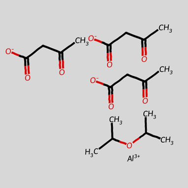 CC(=O)CC(=O)[O-].CC(=O)CC(=O)[O-].CC(=O)CC(=O)[O-].CC(C)OC(C)C.[Al+3]